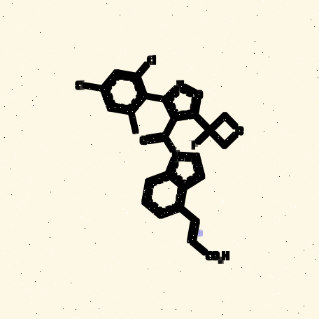 Cc1cc(Cl)cc(Cl)c1-c1noc(C2(F)COC2)c1C(=O)n1ccc2c(/C=C/C(=O)O)cccc21